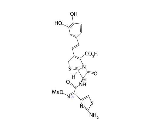 CO/N=C(\C(=O)N[C@@H]1C(=O)N2C(C(=O)O)=C(C=Cc3ccc(O)c(O)c3)CS[C@H]12)c1csc(N)n1